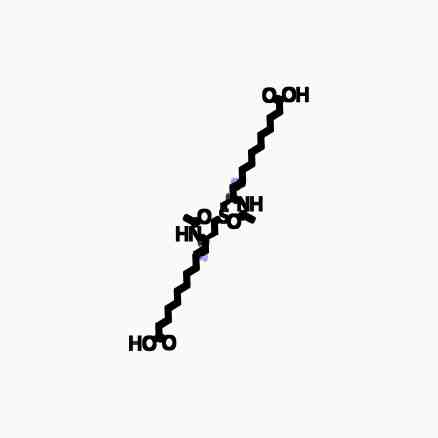 CC(=O)N[C@H](/C=C/CCCCCCCCC(=O)O)CCSC[C@@H](/C=C/CCCCCCCCC(=O)O)NC(C)=O